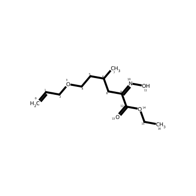 C=CCOCCC(C)CC(=NO)C(=O)OCC